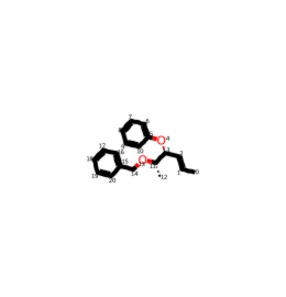 CC=C[C@@H](Oc1ccccc1)[C@H](C)OCc1ccccc1